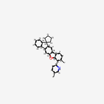 Cc1ccc(-c2c(C)ccc3c2oc2cc4c(cc23)C2(CCCC2)c2ccccc2-4)nc1